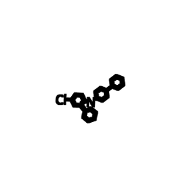 Clc1ccc2c(c1)c1ccccc1n2-c1ccc(-c2ccccc2)cc1